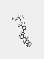 CN(C)CCNC(=O)c1cccc(-c2cc3c(Nc4ccc5[nH]ccc5c4)c(C#N)cnc3s2)c1